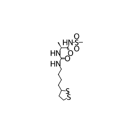 C[C@H](NC(=O)NCCCCC1CCSS1)C(=O)NS(C)(=O)=O